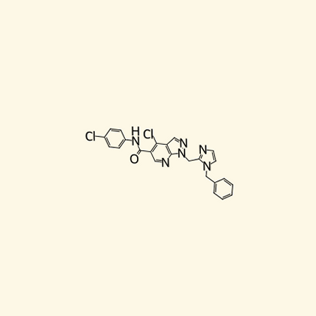 O=C(Nc1ccc(Cl)cc1)c1cnc2c(cnn2Cc2nccn2Cc2ccccc2)c1Cl